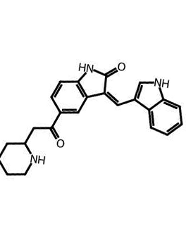 O=C1Nc2ccc(C(=O)CC3CCCCN3)cc2C1=Cc1c[nH]c2ccccc12